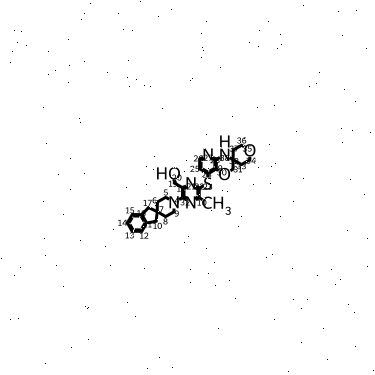 Cc1nc(N2CCC3(CC2)Cc2ccccc2C3)c(CO)nc1Sc1ccnc2c1OCC1(CCOCC1)N2